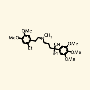 CCc1cc(OC)c(OC)cc1CCN(C)CCCC(C#N)(c1cc(OC)c(OC)c(OC)c1)C(C)C